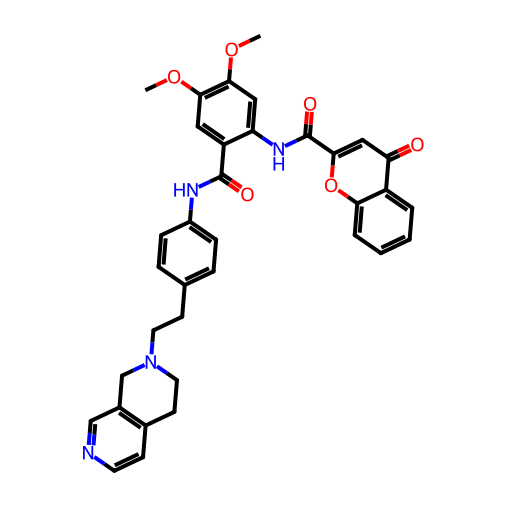 COc1cc(NC(=O)c2cc(=O)c3ccccc3o2)c(C(=O)Nc2ccc(CCN3CCc4ccncc4C3)cc2)cc1OC